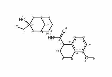 CC[C@]1(O)CC2CC[C@H](NC(=O)C3CCCc4c(OC)cccc43)C(C2)C1